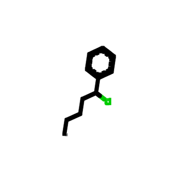 [CH2]CCCC(Cl)c1ccccc1